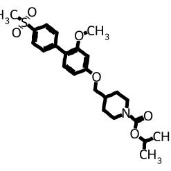 COc1cc(OCC2CCN(C(=O)OC(C)C)CC2)ccc1-c1ccc(S(C)(=O)=O)cc1